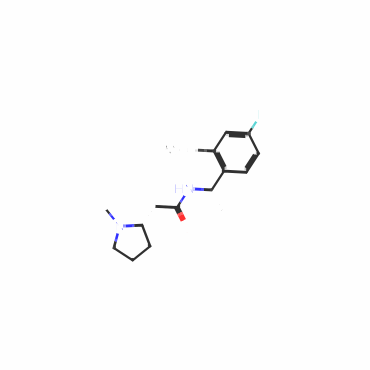 COc1cc(F)ccc1[C@H](C)NC(=O)C[C@@H]1CCCN1C